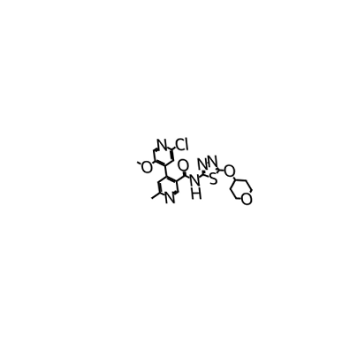 COc1cnc(Cl)cc1-c1cc(C)ncc1C(=O)Nc1nnc(OC2CCOCC2)s1